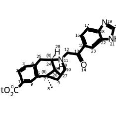 CCOC(=O)c1ccc2c(c1)[C@]1(C)CCN(CC(=O)c3ccc4nc[nH]c4c3)[C@H](C2)[C@H]1C